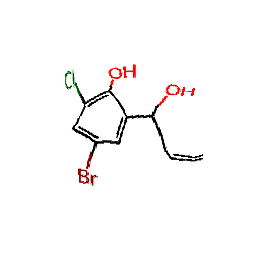 C=CC(O)c1cc(Br)cc(Cl)c1O